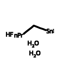 CCC[CH2][Sn].F.O.O